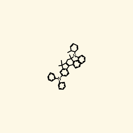 CC1C=CC=CC1N(c1ccccc1)C1(C)CC2=C(c3ccc(N(c4ccccc4)c4ccccc4)cc3C2(C)C)c2ccccc21